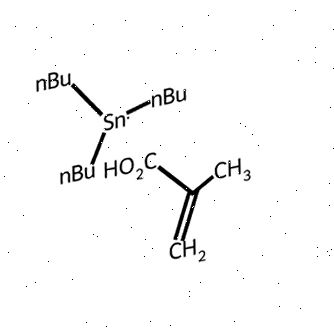 C=C(C)C(=O)O.CCC[CH2][Sn]([CH2]CCC)[CH2]CCC